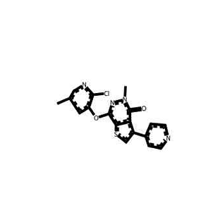 Cc1cnc(Cl)c(Oc2nn(C)c(=O)c3c(-c4ccncc4)csc23)c1